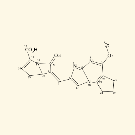 CCOc1nc2nc(C=C3C(=O)N4C(C(=O)O)=CCC34)cn2c2c1CCC2